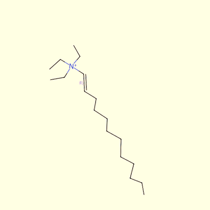 CCCCCCCCCC/C=C/[N+](CC)(CC)CC